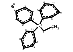 CC[N+](c1ccccc1)(c1ccccc1)c1ccccc1.[Br-]